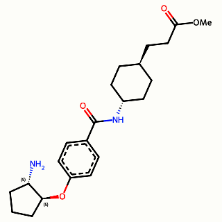 COC(=O)CC[C@H]1CC[C@H](NC(=O)c2ccc(O[C@H]3CCC[C@@H]3N)cc2)CC1